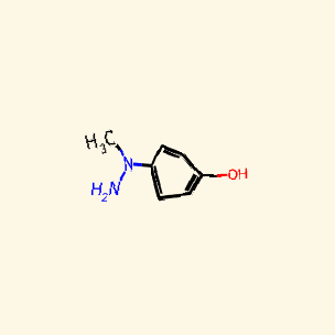 CN(N)c1ccc(O)cc1